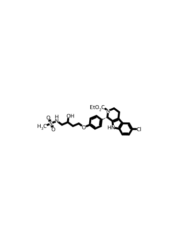 CCOC(=O)N1CCc2c([nH]c3ccc(Cl)cc23)[C@@H]1c1ccc(OCCC(O)CNS(C)(=O)=O)cc1